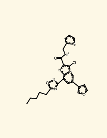 CCCCCc1nc(-c2cc(-c3ccoc3)cn3c(Cl)c(C(=O)NCc4cccs4)nc23)no1